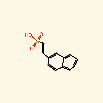 O=S(=O)(O)C=Cc1ccc2ccccc2c1